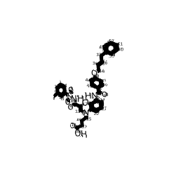 Cc1cccc(S(=O)(=O)NC(=O)C2CN(CCCC(=O)O)c3cccc(NC(=O)c4ccc(OCCCCc5ccccc5)cc4)c3O2)c1